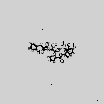 CC1C2(C)CCC3CC(OC(=O)C4CCCN4C(=O)C(NC(=O)C(O)Cc4ccccc4)C(F)(F)F)C312